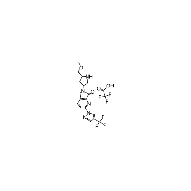 COC[C@@H]1C[C@@H](N2Cc3ccc(-n4cc(C(F)(F)F)cn4)nc3C2=O)CN1.O=C(O)C(F)(F)F